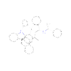 C=C(C1=C(/N=C(\CC)c2ccccc2)c2ccccc2C12c1ccccc1-n1c3ccccc3c3cccc2c31)c1cccc2ccccc12